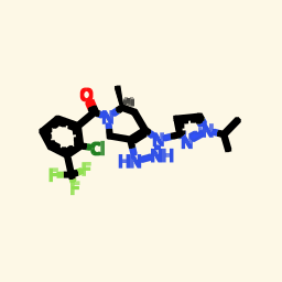 CC(C)n1ccc(N2NNC3=C2C[C@H](C)N(C(=O)c2cccc(C(F)(F)F)c2Cl)C3)n1